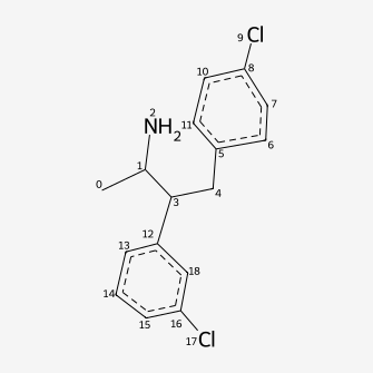 CC(N)C(Cc1ccc(Cl)cc1)c1cccc(Cl)c1